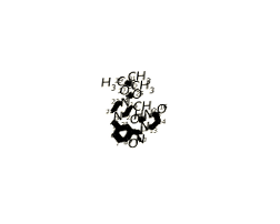 C[C@H]1CN(Cc2ccc3onc(N4CCC(=O)NC4=O)c3c2)CCN1C(=O)OC(C)(C)C